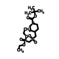 CCOP(=O)(CS(=O)(=O)CC1CCN(C(=O)OC(C)(C)C)CC1)OCC